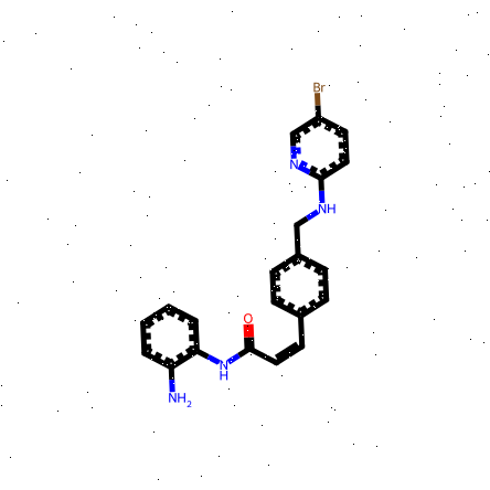 Nc1ccccc1NC(=O)/C=C\c1ccc(CNc2ccc(Br)cn2)cc1